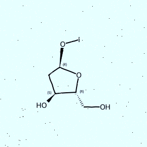 OC[C@H]1O[C@H](OI)C[C@@H]1O